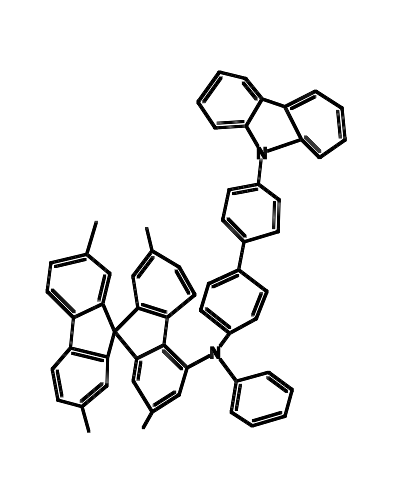 Cc1ccc2c(c1)C1(c3cc(C)ccc3-2)c2cc(C)ccc2-c2c(N(c3ccccc3)c3ccc(-c4ccc(-n5c6ccccc6c6ccccc65)cc4)cc3)cc(C)cc21